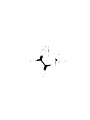 O=C([O-])C(=O)[O-].O=[N][Pd+2][N]=O